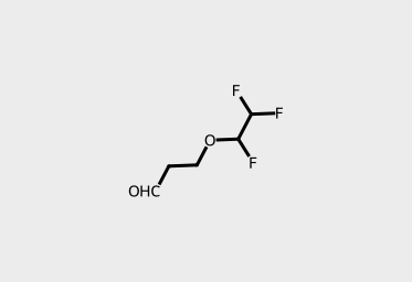 O=CCCOC(F)C(F)F